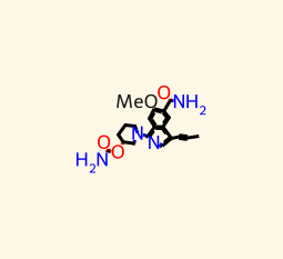 CC#Cc1cnc(N2CCCC(OC(N)=O)C2)c2cc(OC)c(C(N)=O)cc12